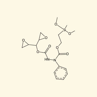 CO[Si](C)(CCOC(=O)N(NC(=O)OC(C1CO1)C1CO1)c1ccccc1)OC